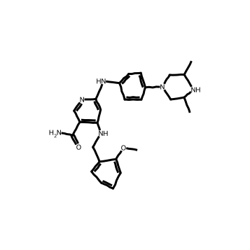 COc1ccccc1CNc1cc(Nc2ccc(N3CC(C)NC(C)C3)cc2)ncc1C(N)=O